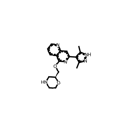 Cc1n[nH]c(C)c1-c1cc2ncccc2c(OC[C@@H]2CNCCO2)n1